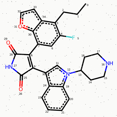 CCCc1c(F)cc(C2=C(c3cn(C4CCNCC4)c4ccccc34)C(=O)NC2=O)c2occc12